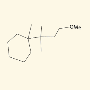 COCCC(C)(C)C1(C)CCCCC1